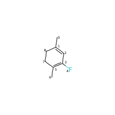 CC1=CC(F)=C(C)CC1